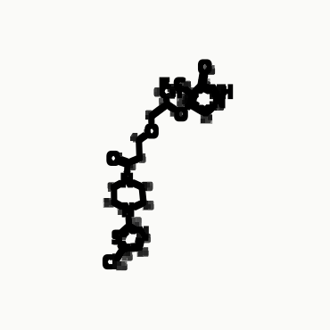 CC(COCCC(=O)N1CCN(c2ncc(Cl)s2)CC1)Oc1cn[nH]c(=O)c1C(F)(F)F